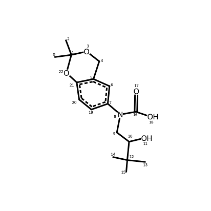 CC1(C)OCc2cc(N(CC(O)C(C)(C)C)C(=O)O)ccc2O1